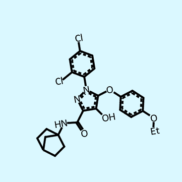 CCOc1ccc(Oc2c(O)c(C(=O)NC34CCC(CC3)C4)nn2-c2ccc(Cl)cc2Cl)cc1